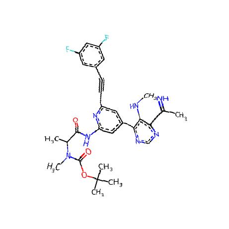 CNc1c(C(C)=N)ncnc1-c1cc(C#Cc2cc(F)cc(F)c2)nc(NC(=O)C(C)N(C)C(=O)OC(C)(C)C)c1